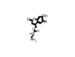 NCCNC(=O)OCc1cc(=O)oc2cc(O)c(Br)cc12